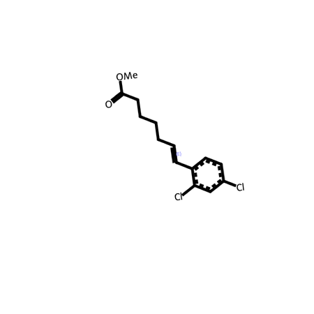 COC(=O)CCCC/C=C/c1ccc(Cl)cc1Cl